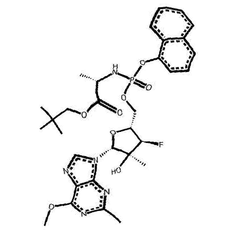 COc1nc(C)nc2c1ncn2[C@@H]1O[C@H](COP(=O)(N[C@@H](C)C(=O)OCC(C)(C)C)Oc2cccc3ccccc23)[C@@H](F)[C@@]1(C)O